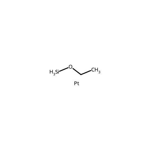 CCO[SiH3].[Pt]